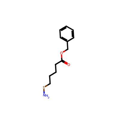 NSCCCCC(=O)OCc1ccccc1